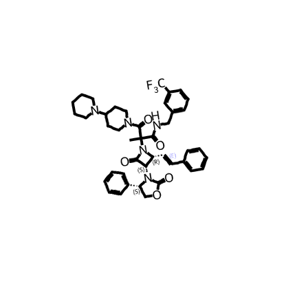 CC(C(=O)NCc1cccc(C(F)(F)F)c1)(C(=O)N1CCC(N2CCCCC2)CC1)N1C(=O)[C@@H](N2C(=O)OC[C@@H]2c2ccccc2)[C@H]1/C=C/c1ccccc1